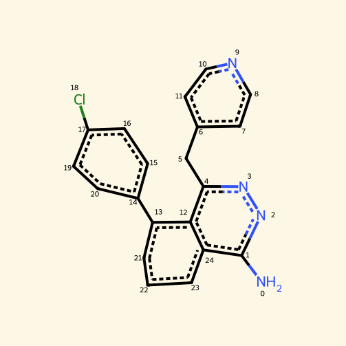 Nc1nnc(Cc2ccncc2)c2c(-c3ccc(Cl)cc3)cccc12